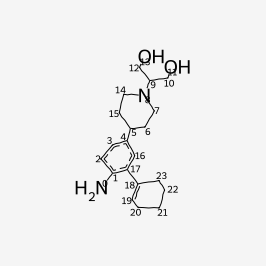 Nc1ccc(C2CCN(C(CO)CO)CC2)cc1C1=CCCCC1